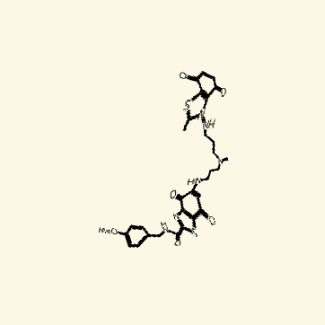 COc1ccc(CNC(=O)c2nc3c(s2)C(=O)C=C(NCCCN(C)CCCNN2C4=C(SC2C)C(=O)C=CC4=O)C3=O)cc1